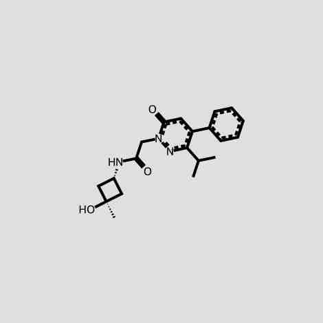 CC(C)c1nn(CC(=O)N[C@H]2C[C@](C)(O)C2)c(=O)cc1-c1ccccc1